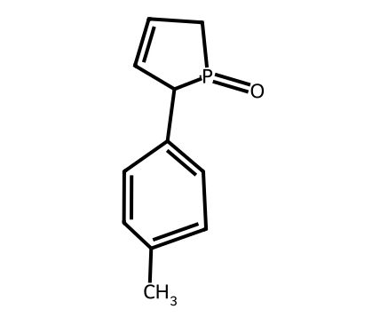 Cc1ccc(C2C=CC[P]2=O)cc1